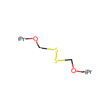 CC(C)OCSSCOC(C)C